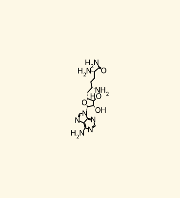 NC(=O)[C@@H](N)CC[C@H](N)C[C@H]1O[C@@H](n2cnc3c(N)ncnc32)[C@@H](O)C1O